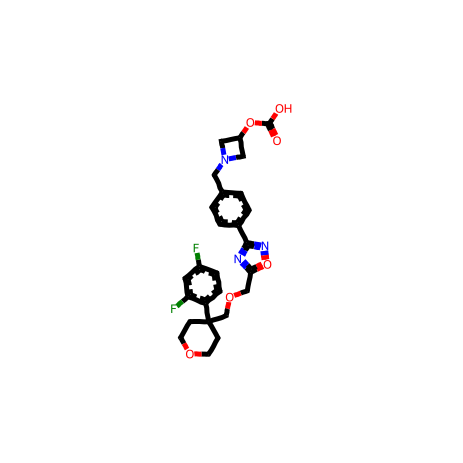 O=C(O)OC1CN(Cc2ccc(-c3noc(COCC4(c5ccc(F)cc5F)CCOCC4)n3)cc2)C1